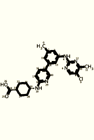 Cc1cc(Nc2ncc(Cl)c(C)n2)cc(-c2ccc(N[C@H]3CC[C@H](C(=O)O)CC3)nc2)c1